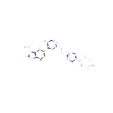 Cc1nc2c(F)cc(-c3cc(CCc4ncc(N5CCN(C)CC5)cn4)ncc3F)cc2n1C(C)C